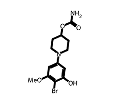 COc1cc(N2CCC(OC(N)=O)CC2)cc(O)c1Br